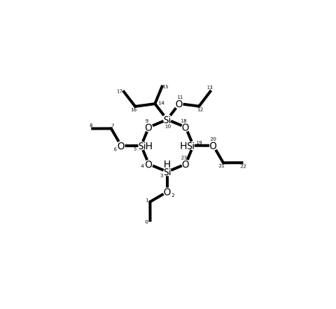 CCO[SiH]1O[SiH](OCC)O[Si](OCC)(C(C)CC)O[SiH](OCC)O1